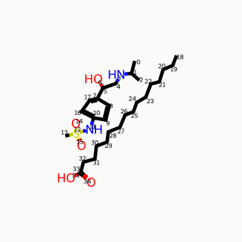 CC(C)NCC(O)c1ccc(NS(C)(=O)=O)cc1.CCCCCCCCCCCCCCCC(=O)O